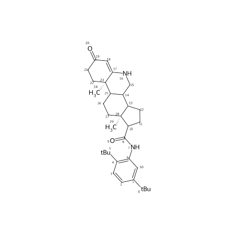 CC(C)(C)c1ccc(C(C)(C)C)c(NC(=O)C2CCC3C4CNC5=CC(=O)CC[C@]5(C)C4CC[C@]23C)c1